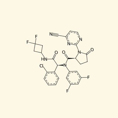 N#Cc1ccnc(N2C(=O)CC[C@H]2C(=O)N(c2cc(F)cc(F)c2)[C@H](C(=O)NC2CC(F)(F)C2)c2ccccc2Cl)n1